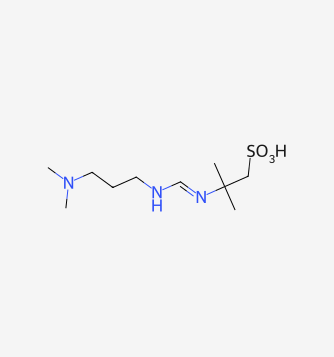 CN(C)CCCNC=NC(C)(C)CS(=O)(=O)O